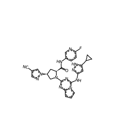 N#Cc1cnn([C@H]2C[C@@H](C(=O)Nc3ccc(F)nc3)N(c3nc(Nc4cc(C5CC5)[nH]n4)n4cccc4n3)C2)c1